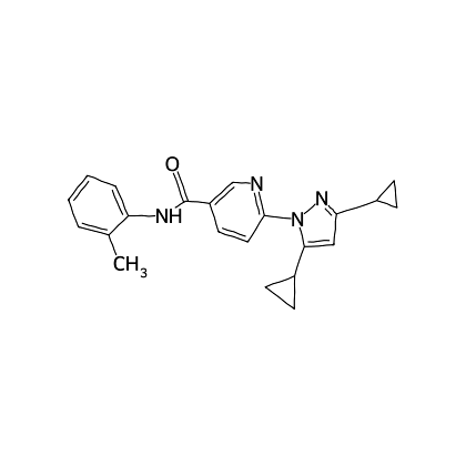 Cc1ccccc1NC(=O)c1ccc(-n2nc(C3CC3)cc2C2CC2)nc1